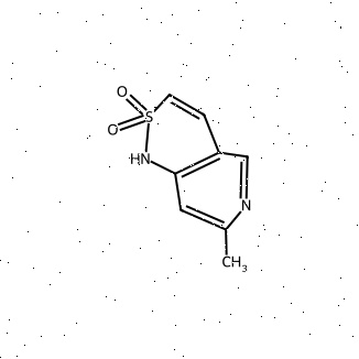 Cc1cc2c(cn1)C=CS(=O)(=O)N2